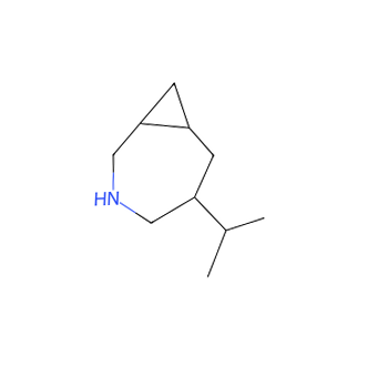 CC(C)C1CNCC2CC2C1